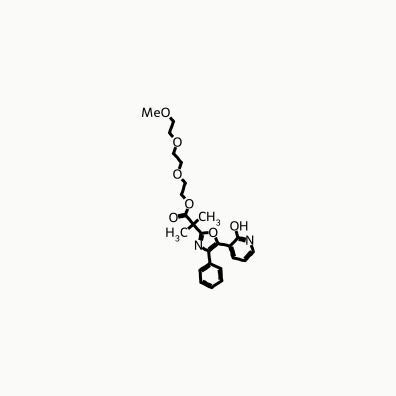 COCCOCCOCCOC(=O)C(C)(C)c1nc(-c2ccccc2)c(-c2cccnc2O)o1